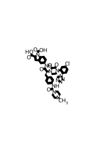 CN1CCN(C(=O)Nc2ccc(C[C@@H](C(=O)Nc3ccc4c(c3)cc(C(=O)O)n4C(=O)O)N3CCN(c4cc(Cl)ccc4-n4cnnn4)C(=O)C3=O)cc2)CC1